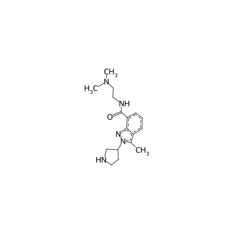 Cc1c2cccc(C(=O)NCCN(C)C)c2nn1C1CCNC1